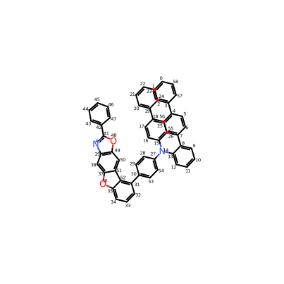 c1ccc(-c2ccc(-c3ccccc3N(c3ccc(-c4ccccc4)cc3)c3ccc(-c4cccc5oc6cc7nc(-c8ccccc8)oc7cc6c45)cc3)cc2)cc1